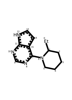 CCC1CCCCN1c1ncnc2[nH]ccc12